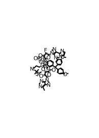 COc1ccc(C(OC[C@H]2O[C@@H](n3cnc4c(C)ncnc43)[C@H](O[Si](C)(C)C(C)(C)C)[C@@H]2OP(=O)(OCCC#N)OC[C@H]2O[C@@H](n3cnc4c3ncn3ccnc43)[C@H](F)[C@@H]2O[PH](=O)O)(c2ccccc2)c2ccc(OC)cc2)cc1